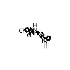 O=c1[nH]c(NCCN2CCN(c3n[nH]c4ccccc34)CC2)nc2ccc(Cl)cc12